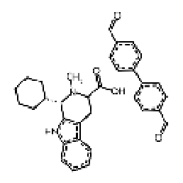 CN1C(C(=O)O)Cc2c([nH]c3ccccc23)[C@@H]1C1CCCCC1.O=Cc1ccc(-c2ccc(C=O)cc2)cc1